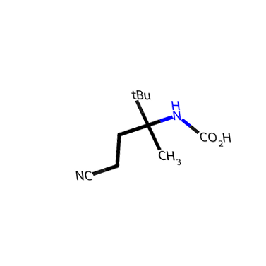 CC(C)(C)C(C)(CCC#N)NC(=O)O